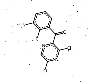 Nc1cccc(C(=O)c2ncc(Cl)nc2Cl)c1Cl